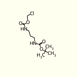 CC(C)(C)OC(=O)NCCCNC(=O)OCCl